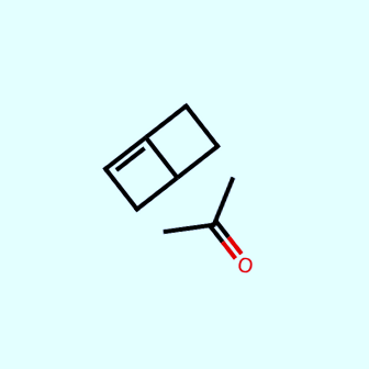 C1=C2CCC2C1.CC(C)=O